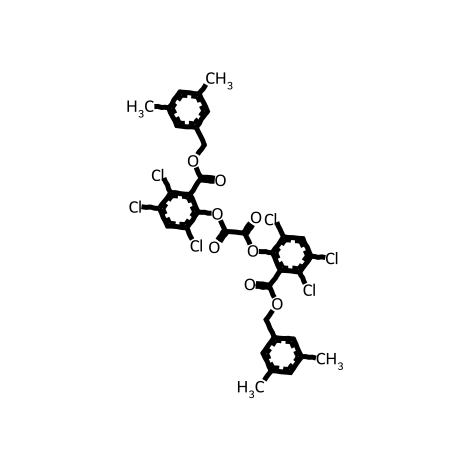 Cc1cc(C)cc(COC(=O)c2c(Cl)c(Cl)cc(Cl)c2OC(=O)C(=O)Oc2c(Cl)cc(Cl)c(Cl)c2C(=O)OCc2cc(C)cc(C)c2)c1